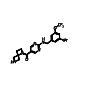 CC(C)c1cc(CNc2ncc(C(=O)N3CCC34CNC4)cn2)cc(OC(F)(F)F)c1